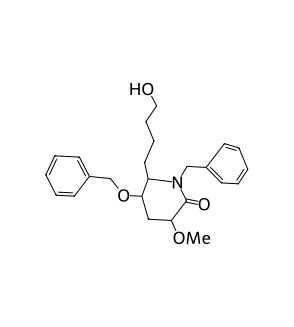 COC1CC(OCc2ccccc2)C(CCCCO)N(Cc2ccccc2)C1=O